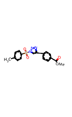 COC(=O)c1ccc(-c2cn(S(=O)(=O)c3ccc(C)cc3)nn2)cc1